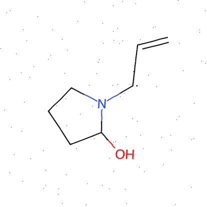 C=C[CH]N1CCCC1O